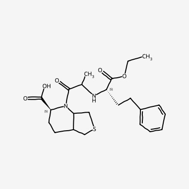 CCOC(=O)[C@H](CCc1ccccc1)NC(C)C(=O)N1C2CSCC2CC[C@H]1C(=O)O